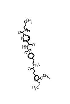 COCCNC(=O)c1ccc(C(=O)NS(=O)(=O)c2ccc(CCNC(=O)CCc3ccc(OC)c(OC)c3)cc2)cn1